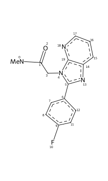 CNC(=O)Cn1c(-c2ccc(F)cc2)nc2cccnc21